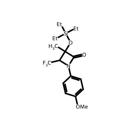 CC[Si](CC)(CC)OC1(C)C(=O)N(c2ccc(OC)cc2)C1C(F)(F)F